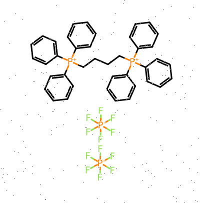 F[P-](F)(F)(F)(F)F.F[P-](F)(F)(F)(F)F.c1ccc([P+](CCCC[P+](c2ccccc2)(c2ccccc2)c2ccccc2)(c2ccccc2)c2ccccc2)cc1